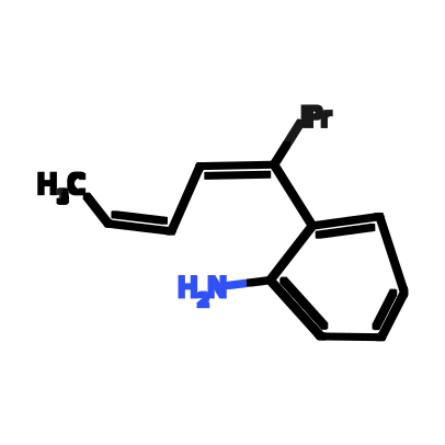 C/C=C\C=C(/c1ccccc1N)C(C)C